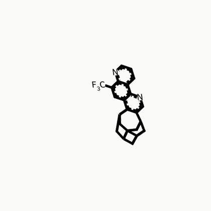 FC(F)(F)c1cc2c3c(cnc2c2cccnc12)C1CC2CC4CC3CC24C1